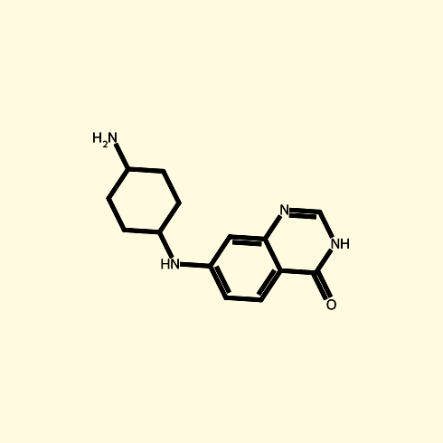 NC1CCC(Nc2ccc3c(=O)[nH]cnc3c2)CC1